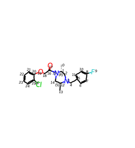 C[C@@H]1CN(Cc2ccc(F)cc2)[C@@H](C)CN1C(=O)COc1ccccc1Cl